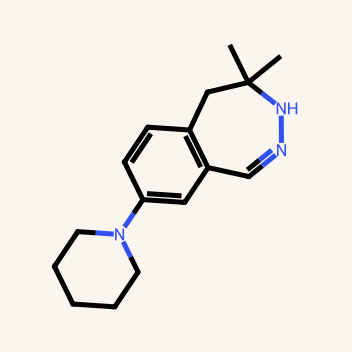 CC1(C)Cc2ccc(N3CCCCC3)cc2C=NN1